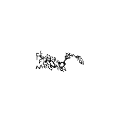 COc1cc(-n2cnc3cc(-c4cnn(CCN5CCOCC5)c4)ccc32)cc(OC)c1C(=O)NC(F)C(F)F